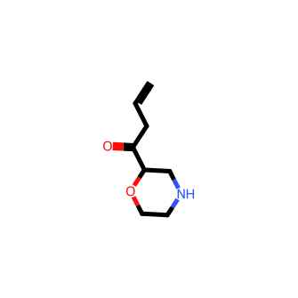 C=CCC(=O)C1CNCCO1